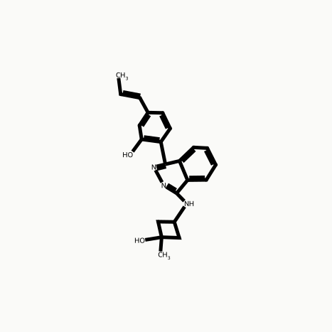 C/C=C/c1ccc(-c2nnc(NC3CC(C)(O)C3)c3ccccc23)c(O)c1